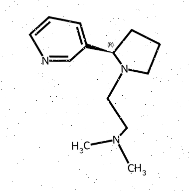 CN(C)CCN1CCC[C@@H]1c1cccnc1